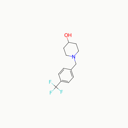 OC1CCN(Cc2ccc(C(F)(F)F)cc2)CC1